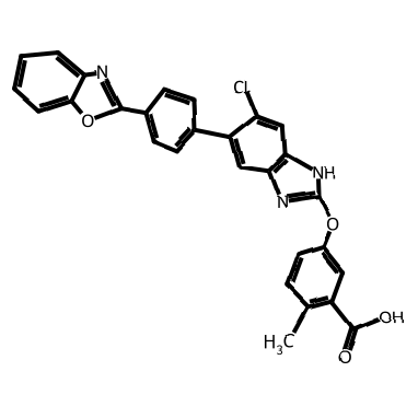 Cc1ccc(Oc2nc3cc(-c4ccc(-c5nc6ccccc6o5)cc4)c(Cl)cc3[nH]2)cc1C(=O)O